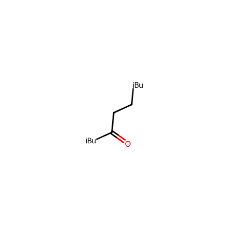 [CH2]C(CC)CCC(=O)C(C)CC